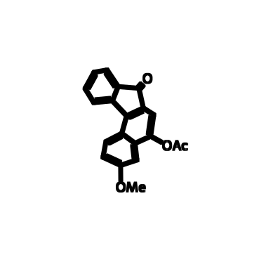 COc1ccc2c3c(cc(OC(C)=O)c2c1)C(=O)c1ccccc1-3